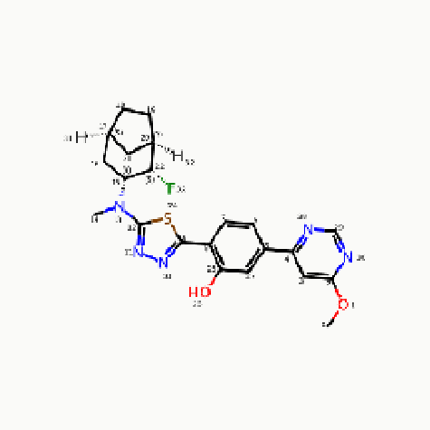 COc1cc(-c2ccc(-c3nnc(N(C)[C@@H]4C[C@H]5CC[C@H](C5)[C@@H]4F)s3)c(O)c2)ncn1